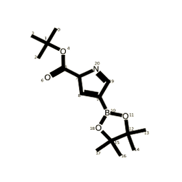 CC(C)(C)OC(=O)C1C=C(B2OC(C)(C)C(C)(C)O2)C=N1